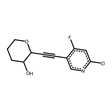 OC1CCCOC1C#Cc1cnc(Cl)cc1F